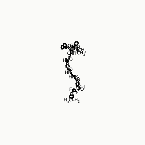 CN[C@@H](C)C(=O)N[C@H](C(=O)N1C[C@@H](NC(=O)CCC(=O)NCCN2CCN(CC(=O)NCCCNc3cc(N4CCC5(CC4)CN(c4cc(F)c(CN6CCC(C)(C)CC6)cc4F)CC(=O)N5)ncn3)CC2)C[C@H]1C(=O)N[C@H]1CCCc2ccccc21)C1CCCCC1